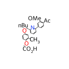 CCCC[C@H](Oc1ccc(OCC(=O)O)c(C)c1)c1cccc(-c2ccc(C(C)=O)c(OC)c2)n1